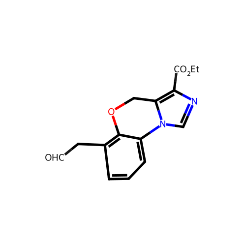 CCOC(=O)c1ncn2c1COc1c(CC=O)cccc1-2